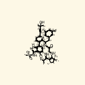 C[C@H]1CC(F)(F)C(NCC(=O)NC(Cc2cc(F)cc(F)c2)c2nc(C#CC(C)(C)O)ccc2-c2ccc(Cl)c3c(NS(C)(=O)=O)n[nH]c23)=C1C(=N)C(F)F